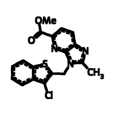 COC(=O)c1ccc2nc(C)n(Cc3sc4ccccc4c3Cl)c2n1